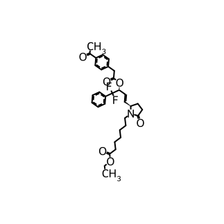 CCOC(=O)CCCCCCN1C(=O)CC[C@@H]1/C=C/[C@@H](OC(=O)Cc1ccc(C(C)=O)cc1)C(F)(F)c1ccccc1